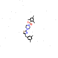 Cc1cc(C)cc(Cc2csc(N3CCN(S(=O)(=O)c4c(C)cc(C)cc4C)CC3)n2)c1